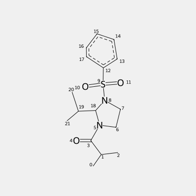 CC(C)C(=O)N1CCN(S(=O)(=O)c2ccccc2)C1C(C)C